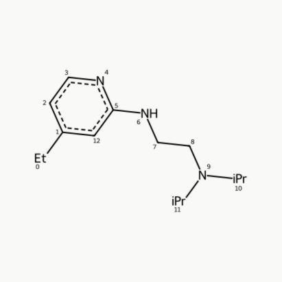 CCc1ccnc(NCCN(C(C)C)C(C)C)c1